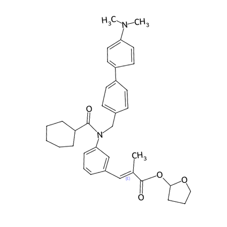 C/C(=C\c1cccc(N(Cc2ccc(-c3ccc(N(C)C)cc3)cc2)C(=O)C2CCCCC2)c1)C(=O)OC1CCCO1